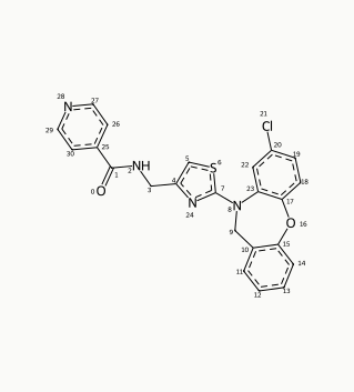 O=C(NCc1csc(N2Cc3ccccc3Oc3ccc(Cl)cc32)n1)c1ccncc1